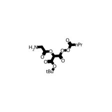 CCCC(=O)OOC(=O)C(OC(=O)CN)C(=O)OC(C)(C)C